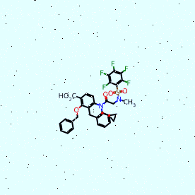 CN(CC(=O)N(CC1CC1)c1ccc(C(=O)O)c(OCc2ccccc2)c1Cc1ccccc1)S(=O)(=O)c1c(F)c(F)c(F)c(F)c1F